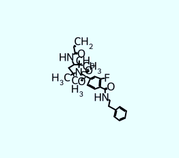 C=CC(=O)NC1CC(C)(C)N(S(=O)(=O)c2ccc(C(=O)NCCc3ccccc3)c(F)c2)C1(C)C